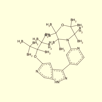 BC(B)(B)C(B)(Oc1cc2c(-c3ccnc(N4C(B)(B)C(B)(B)OC(B)(B)C4(B)B)c3)n[nH]c2cn1)C(B)(B)B